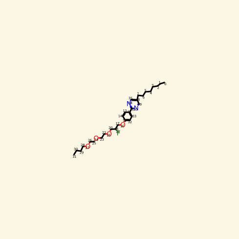 CCCCCCCCc1cnc(-c2ccc(OC[C@@H](F)COCCOCCOCCCC)cc2)nc1